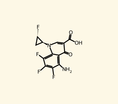 Nc1c(F)c(F)c(F)c2c1c(=O)c(C(=O)O)cn2[C@H]1C[C@@H]1F